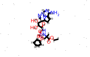 CCOC(=O)C(C)(C)NP(=O)(OC[C@H]1O[C@@](C#N)(C2CC=C3C(N)=NC=NN32)[C@H](O)[C@@H]1O)Oc1ccccc1